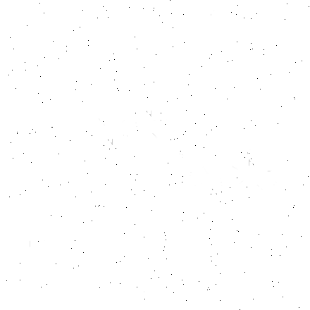 CCCCCCCCCCCCn1c2ccc(C#Cc3ccc4c(c3)c3cc5c(cc3n4CCCCCCCCCCCC)c3ccccc3n5CCCCCCCCCCCC)cc2c2cc3c(cc21)c1ccccc1n3C